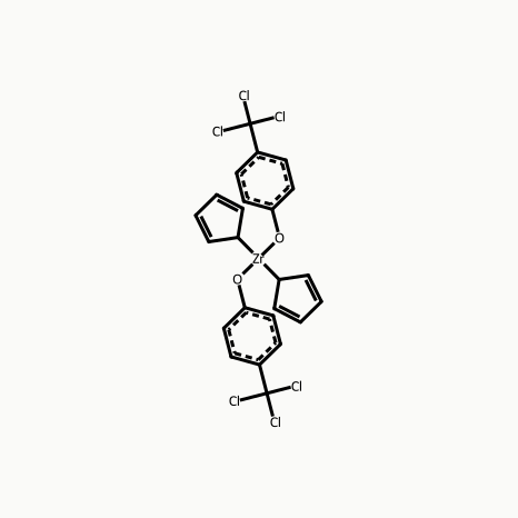 ClC(Cl)(Cl)c1ccc([O][Zr]([O]c2ccc(C(Cl)(Cl)Cl)cc2)([CH]2C=CC=C2)[CH]2C=CC=C2)cc1